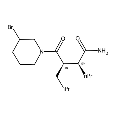 CCC[C@H](C(N)=O)[C@@H](CC(C)C)C(=O)N1CCCC(Br)C1